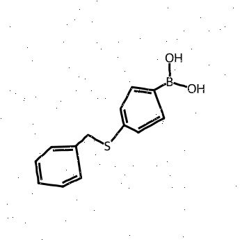 OB(O)c1ccc(SCc2ccccc2)cc1